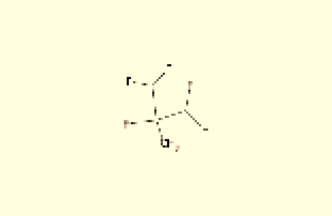 CC(F)(C(F)F)C(F)F